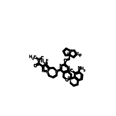 CN(C)C(=O)c1nn2c(c1F)CN(c1nc(OC[C@@]34CCCN3C[C@H](F)C4)nc3c1CO[C@@]1(CCCc4ccc(N)c(C#N)c41)C3)CCC2